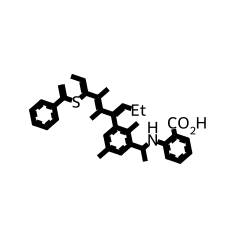 C=C(SC(=C\C)/C(C)=C(C)/C(=C/CC)c1cc(C)cc(C(C)Nc2ccccc2C(=O)O)c1C)c1ccccc1